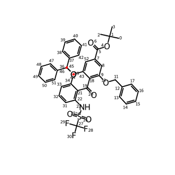 CC(C)(C)OC(=O)c1cc(OCc2ccccc2)c(C(=O)c2c(NS(=O)(=O)C(F)(F)F)cccc2OCc2ccccc2)c(OCc2ccccc2)c1